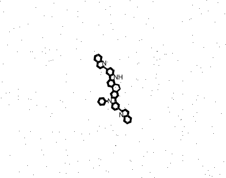 c1ccc(-n2c3ccc(-c4ccc5ccccc5n4)cc3c3cc4c(cc32)-c2ccc3c([nH]c5ccc(-c6ccc7ccccc7n6)cc53)c2CC4)cc1